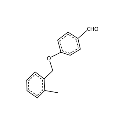 Cc1ccccc1COc1ccc(C=O)cc1